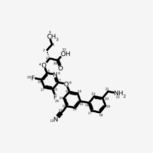 CCC[C@@H](Oc1nc(Oc2cc(C#N)cc(-c3cccc(CN)c3)c2)c(F)cc1F)C(=O)O